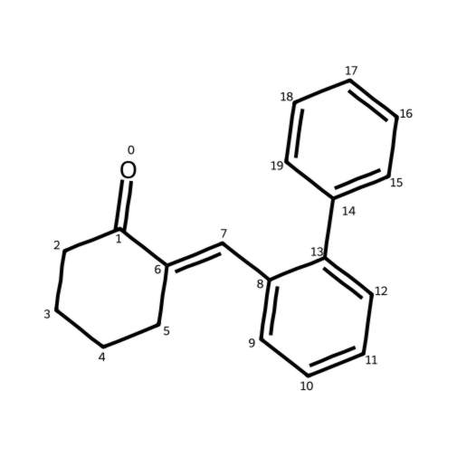 O=C1CCCC/C1=C\c1ccccc1-c1ccccc1